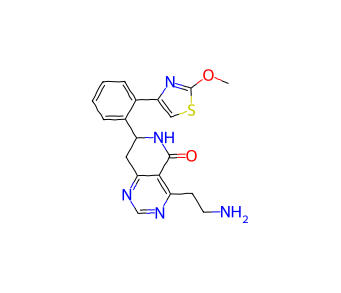 COc1nc(-c2ccccc2C2Cc3ncnc(CCN)c3C(=O)N2)cs1